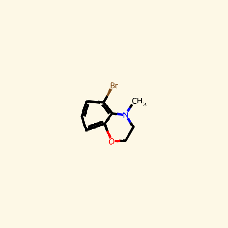 CN1CCOc2cccc(Br)c21